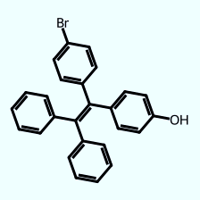 Oc1ccc(C(=C(c2ccccc2)c2ccccc2)c2ccc(Br)cc2)cc1